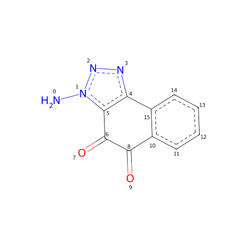 Nn1nnc2c1C(=O)C(=O)c1ccccc1-2